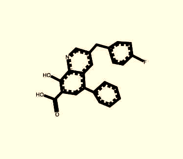 O=C(O)c1cc(-c2ccccc2)c2cc(Cc3ccc(F)cc3)cnc2c1O